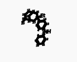 CCC1(c2ccc(Nc3ccccc3)cc2)CC2CCC(C)C(C2)C1